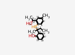 CCC(C)(Pc1ccc(C)cc1C(C)O)c1ccccc1O